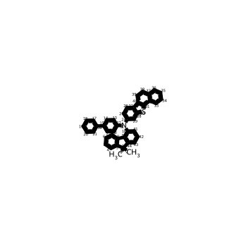 CC1(C)c2ccccc2-c2c(N(c3ccc(-c4ccccc4)cc3)c3ccc4c(c3)sc3c5ccccc5ccc43)cccc21